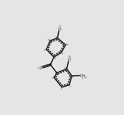 Cc1cccc(C(=O)c2ccc(Cl)cc2)c1Cl